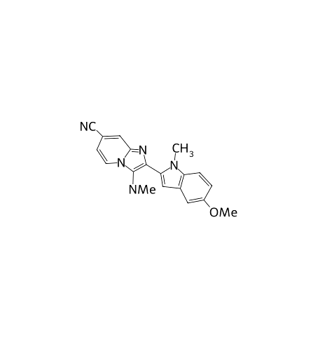 CNc1c(-c2cc3cc(OC)ccc3n2C)nc2cc(C#N)ccn12